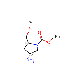 CC(C)OC[C@@H]1C[C@@H](N)CN1C(=O)OC(C)(C)C